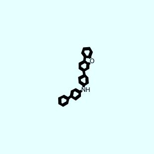 c1ccc(-c2ccc(Nc3ccc(-c4ccc5c(c4)oc4ccccc45)cc3)cc2)cc1